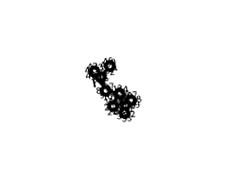 c1ccc(-c2cc(-c3cccc(-c4cccc5c4-c4ccccc4C54c5ccccc5-c5ccccc54)c3)nc3ccccc23)cc1